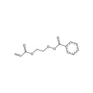 C=CC(=O)OCCOOC(=O)c1ccccc1